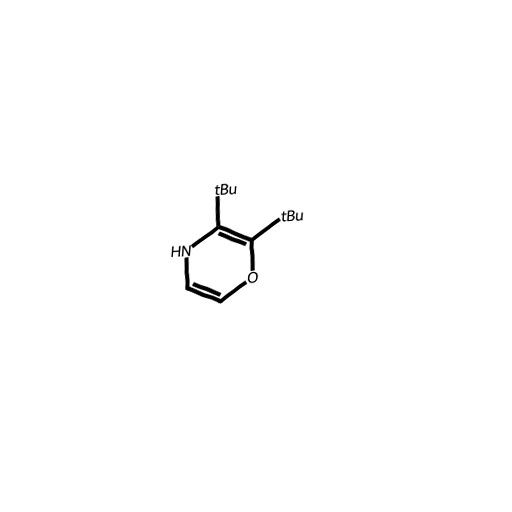 CC(C)(C)C1=C(C(C)(C)C)OC=CN1